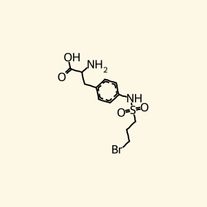 NC(Cc1ccc(NS(=O)(=O)CCCBr)cc1)C(=O)O